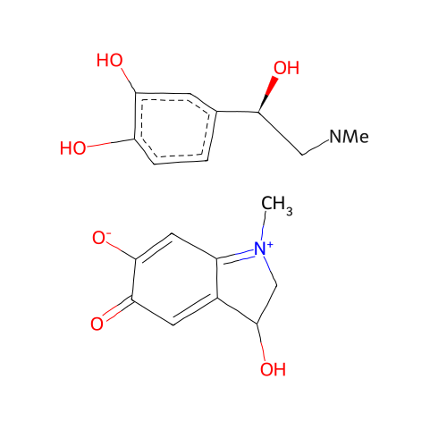 CNC[C@H](O)c1ccc(O)c(O)c1.C[N+]1=C2C=C([O-])C(=O)C=C2C(O)C1